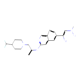 C=C(CN1CCC(C(F)F)CC1)Nc1cc2cc(/C(N)=C/N(C)N)ccc2cn1